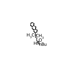 CCCCNC(=O)CCCC(C)(C)c1ccc2cc3ccccc3cc2c1